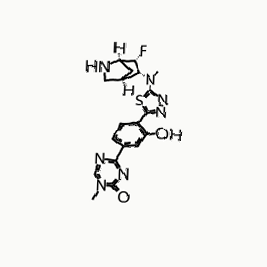 CN(c1nnc(-c2ccc(-c3ncn(C)c(=O)n3)cc2O)s1)[C@@H]1[C@H]2CN[C@H](C2)[C@@H]1F